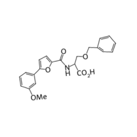 COc1cccc(-c2ccc(C(=O)NC(COCc3ccccc3)C(=O)O)o2)c1